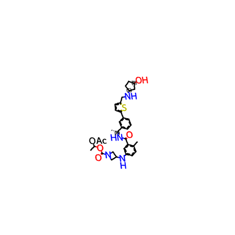 CC(=O)OC(C)OC(=O)N1CC(Nc2ccc(C)c(C(=O)N[C@H](C)c3cccc(-c4ccc(CN[C@H]5CC[C@@H](O)C5)s4)c3)c2)C1